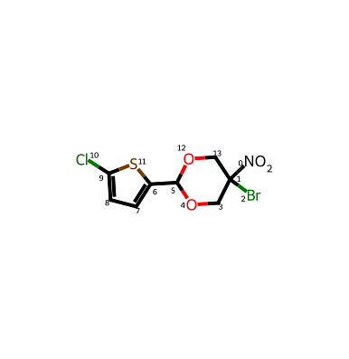 O=[N+]([O-])C1(Br)COC(c2ccc(Cl)s2)OC1